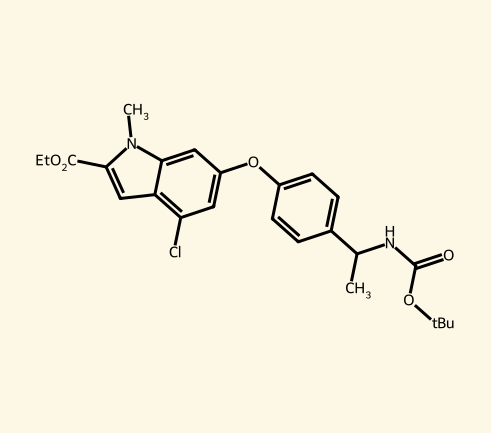 CCOC(=O)c1cc2c(Cl)cc(Oc3ccc(C(C)NC(=O)OC(C)(C)C)cc3)cc2n1C